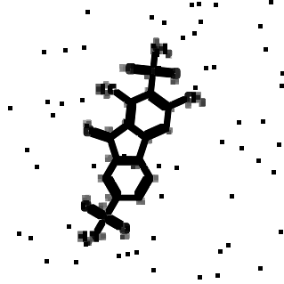 Cc1cc2c(c(C)c1S(N)(=O)=O)C(=O)c1cc(S(N)(=O)=O)ccc1-2